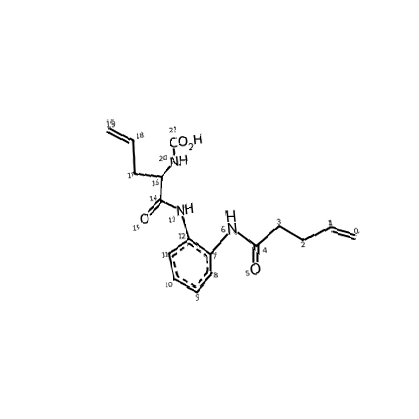 C=CCCC(=O)Nc1ccccc1NC(=O)C(CC=C)NC(=O)O